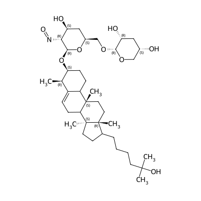 C[C@@H]1C2=CCC3[C@@](C)(CC[C@]4(C)C(CCCCC(C)(C)O)CC[C@@]34C)C2CC[C@@H]1O[C@@H]1O[C@H](CO[C@H]2OC[C@@H](O)C[C@H]2O)C[C@H](O)[C@H]1N=O